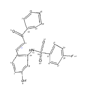 O=C(/C=C/c1ccc(O)cc1NS(=O)(=O)c1ccc(F)cc1)c1ccccc1